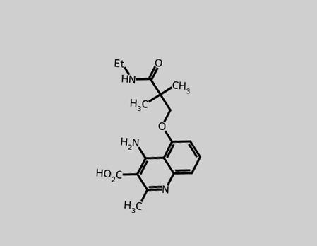 CCNC(=O)C(C)(C)COc1cccc2nc(C)c(C(=O)O)c(N)c12